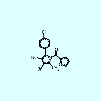 N#Cc1c(Br)c(C(F)(F)F)n(C(=O)c2ccco2)c1-c1ccc(Cl)cc1